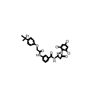 CCC(C)(C)c1ccc(OCC(=O)Nc2cccc(C(=O)NC3=NN(c4c(Cl)cc(Cl)cc4Cl)C(=O)C3)c2)cc1